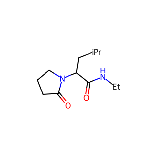 CCNC(=O)C(CC(C)C)N1CCCC1=O